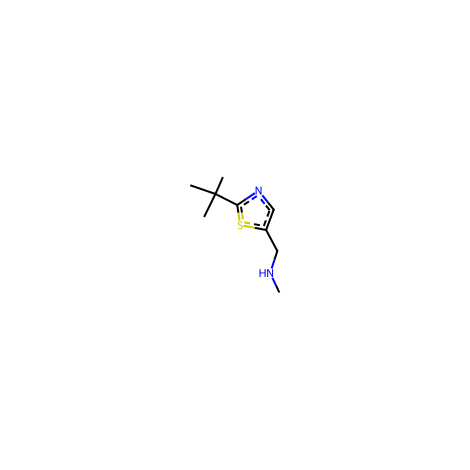 CNCc1cnc(C(C)(C)C)s1